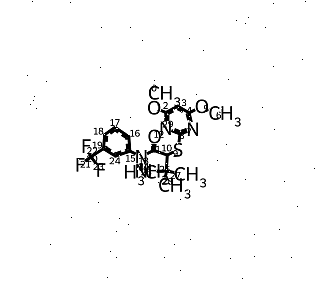 COc1cc(OC)nc(SC(C(=O)N(N)c2cccc(C(F)(F)F)c2)C(C)(C)C)n1